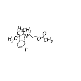 CC(=O)OCCC[N+]1=C(C)C(C)(C)c2ccccc21.[I-]